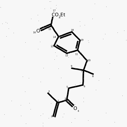 C=C(C)C(=O)CCC(C)(C)Cc1ccc(C(=O)C(=O)OCC)cc1